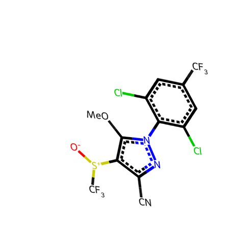 COc1c([S+]([O-])C(F)(F)F)c(C#N)nn1-c1c(Cl)cc(C(F)(F)F)cc1Cl